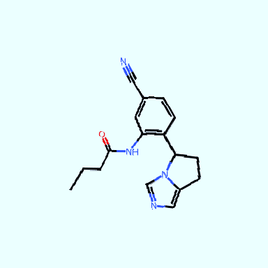 CCCC(=O)Nc1cc(C#N)ccc1C1CCc2cncn21